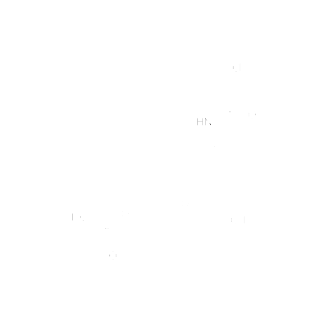 CC(=O)OCCOc1cc(NC(=O)CCl)ccc1C